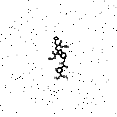 CN(C)c1cncc(C(=O)NCc2ccc3cc(CN(CC4CCC4)C(=O)OC(C)(C)C)n(C(=O)OC(C)(C)C)c3c2)c1